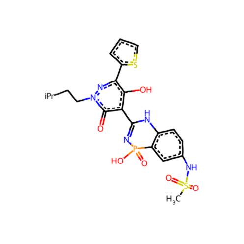 CC(C)CCn1nc(-c2cccs2)c(O)c(C2=NP(=O)(O)c3cc(NS(C)(=O)=O)ccc3N2)c1=O